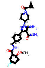 COc1ccc(F)cc1C(=O)NCc1ccc(-c2nn(C3CCN(C(=O)C4CC4)CC3)c(N)c2C(N)=O)cc1